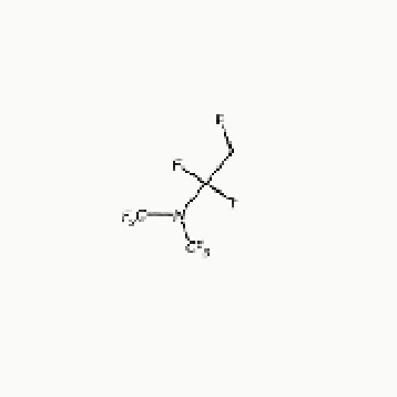 FCC(F)(F)N(C(F)(F)F)C(F)(F)F